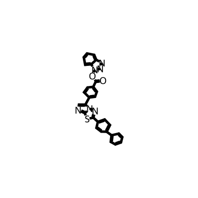 O=C(On1nnc2ccccc21)c1ccc(-c2cnc3sc(-c4ccc(-c5ccccc5)cc4)nn23)cc1